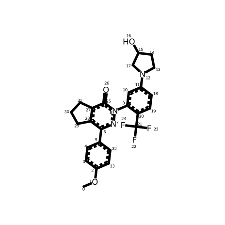 COc1ccc(-c2nn(-c3cc(N4CCC(O)C4)ccc3C(F)(F)F)c(=O)c3c2CCC3)cc1